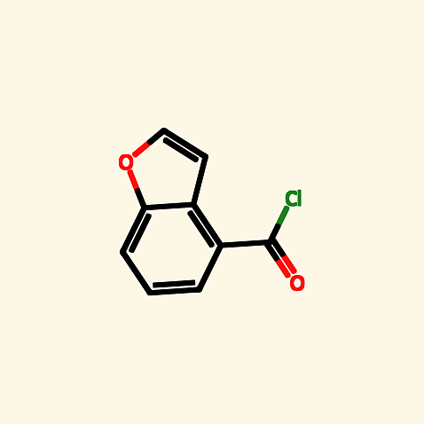 O=C(Cl)c1cccc2occc12